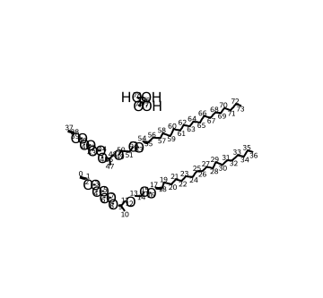 C=COOOOOOOC(C)COCCOOC=CCCCCCCCCCCCCCCCCCC.C=COOOOOOOC(C)COCCOOC=CCCCCCCCCCCCCCCCCCC.O=P(O)(O)O